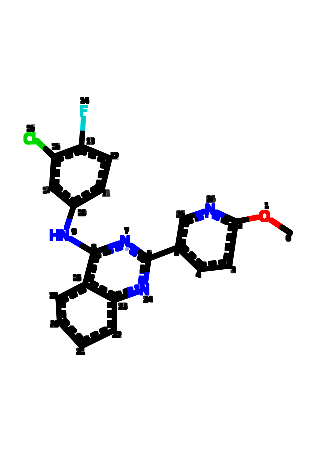 COc1ccc(-c2nc(Nc3ccc(F)c(Cl)c3)c3ccccc3n2)cn1